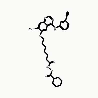 C#Cc1cccc(Nc2ncnc3cc(OC)c(OCCCCCCC(=O)NOC(=O)C4CCCCC4)cc23)c1